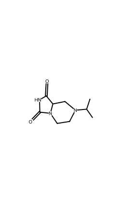 CC(C)N1CCN2C(=O)NC(=O)C2C1